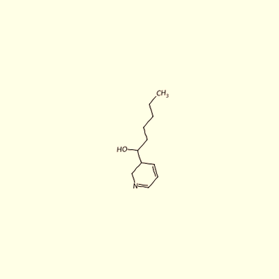 CCCCCC(O)[C]1C=CC=NC1